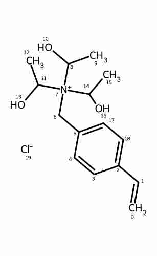 C=Cc1ccc(C[N+](C(C)O)(C(C)O)C(C)O)cc1.[Cl-]